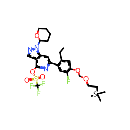 CCc1cc(OCOCC[Si](C)(C)C)c(F)cc1-c1cc2c(cnn2C2CCCCO2)c(OS(=O)(=O)C(F)(F)F)n1